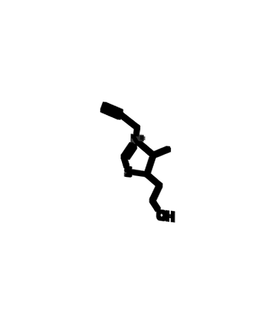 C#CC[N+]1=CSC(CCO)C1C